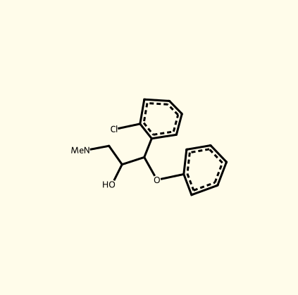 CNCC(O)C(Oc1ccccc1)c1ccccc1Cl